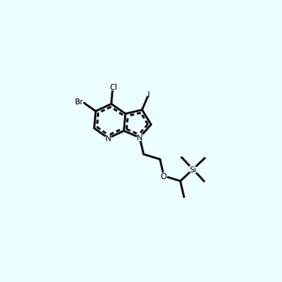 CC(OCCn1cc(I)c2c(Cl)c(Br)cnc21)[Si](C)(C)C